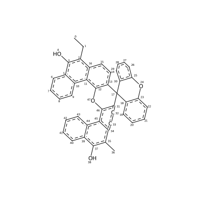 CCc1c(O)c2ccccc2c2c3c(ccc12)C1(c2ccccc2Oc2ccccc21)c1ccc2c(C)c(O)c4ccccc4c2c1O3